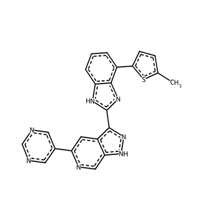 Cc1ccc(-c2cccc3[nH]c(-c4n[nH]c5cnc(-c6cncnc6)cc45)nc23)s1